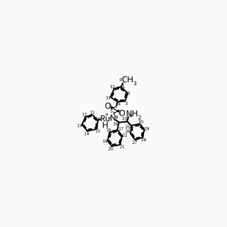 Cc1ccc(S(=O)(=O)[N]([RuH][c]2ccccc2)C(c2ccccc2)C(N)c2ccccc2)cc1